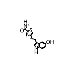 NC(=O)c1nc([CH]Cc2c[nH]c3ccc(O)cc23)cs1